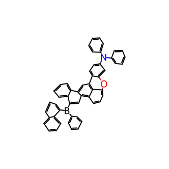 c1ccc(B(c2cccc3ccccc23)c2cc3c4cccc5c4c(cc3c3ccccc23)-c2ccc(N(c3ccccc3)c3ccccc3)cc2O5)cc1